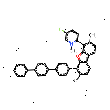 Cc1ccc2c(oc3c(-c4ccc(-c5ccc(-c6ccccc6)cc5)cc4)c(C#N)ccc32)c1-c1ccc(F)c[n+]1C